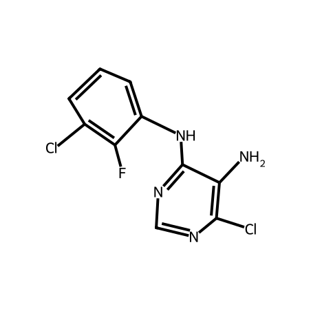 Nc1c(Cl)ncnc1Nc1cccc(Cl)c1F